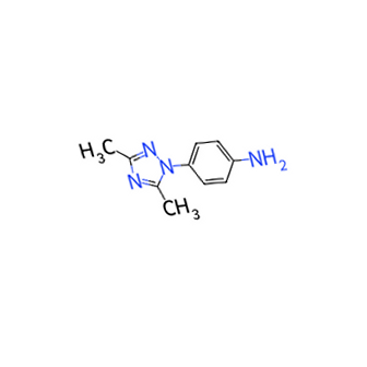 Cc1nc(C)n(-c2ccc(N)cc2)n1